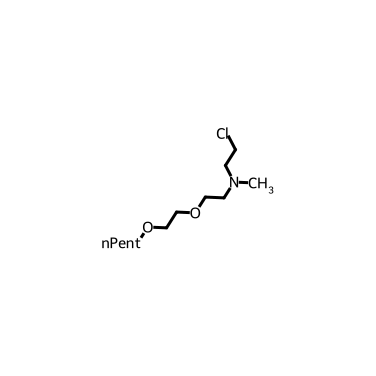 CCCCCOCCOCCN(C)CCCl